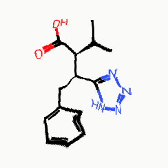 CC(C)[C@H](C(=O)O)[C@H](Cc1ccccc1)c1nnn[nH]1